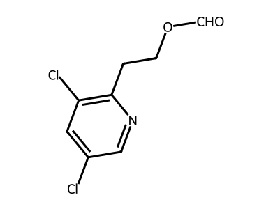 O=COCCc1ncc(Cl)cc1Cl